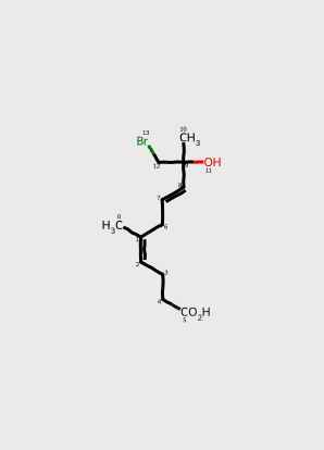 CC(=CCCC(=O)O)CC=CC(C)(O)CBr